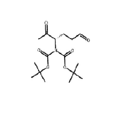 CC(=O)[C@H](CCC=O)N(C(=O)OC(C)(C)C)C(=O)OC(C)(C)C